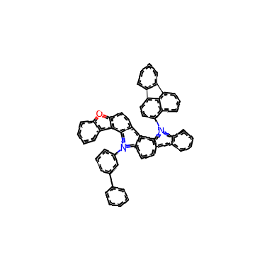 c1ccc(-c2cccc(-n3c4ccc5c6ccccc6n(-c6ccc7c8c(cccc68)-c6ccccc6-7)c5c4c4ccc5oc6ccccc6c5c43)c2)cc1